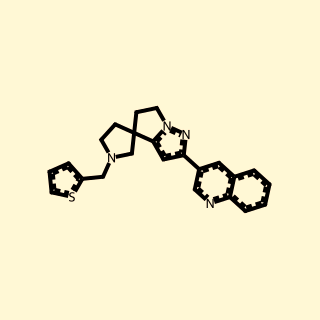 c1csc(CN2CCC3(CCn4nc(-c5cnc6ccccc6c5)cc43)C2)c1